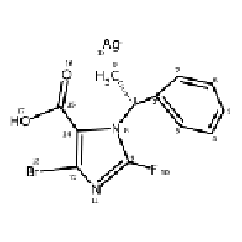 C[C@H](c1ccccc1)n1c(F)nc(Br)c1C(=O)O.[Ag]